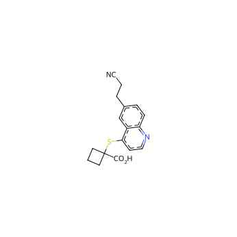 N#CCCc1ccc2nccc(SC3(C(=O)O)CCC3)c2c1